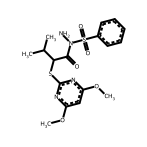 COc1cc(OC)nc(SC(C(=O)N(N)S(=O)(=O)c2ccccc2)C(C)C)n1